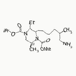 CCC1C(CCCC(C)CN)N(C(=O)OC)[C@@H](C)CN1C(=O)OC(C)C